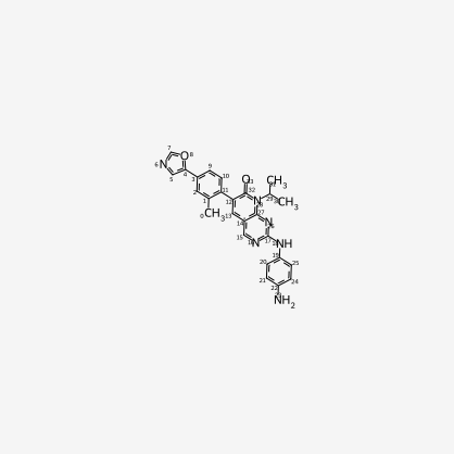 Cc1cc(-c2cnco2)ccc1-c1cc2cnc(Nc3ccc(N)cc3)nc2n(C(C)C)c1=O